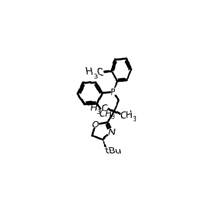 Cc1ccccc1P(CC(C)(C)C1=N[C@@H](C(C)(C)C)CO1)c1ccccc1C